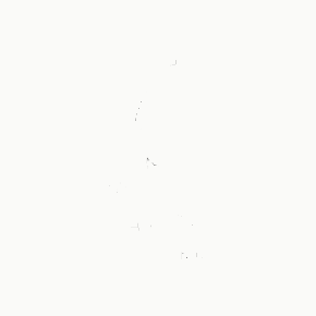 CN(CC(O)CN)c1ccc(C(F)(F)F)cc1